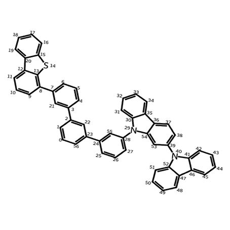 c1cc(-c2cccc(-c3cccc4c3sc3ccccc34)c2)cc(-c2cccc(-n3c4ccccc4c4ccc(-n5c6ccccc6c6ccccc65)cc43)c2)c1